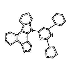 c1ccc(-c2cc(-n3c4ccccc4c4c5ccccc5c5sccc5c43)nc(-c3ccccc3)n2)cc1